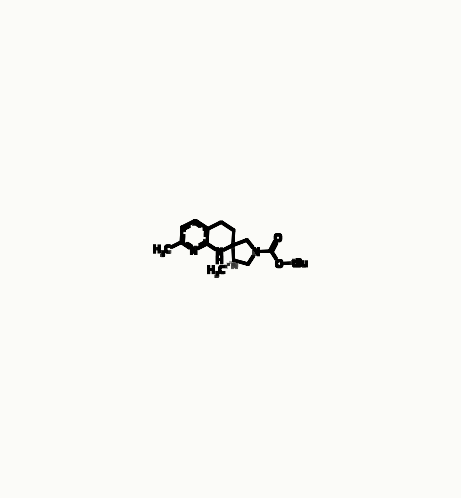 Cc1ccc2c(n1)NC1(CC2)CN(C(=O)OC(C)(C)C)C[C@@H]1C